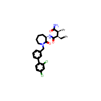 CCC[C@H](C(N)=O)[C@@H](CC(C)C)C(=O)N[C@H]1CCCCN(Cc2cccc(-c3ccc(Cl)cc3Cl)c2)C1=O